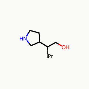 CC(C)C(CO)[C]1CCNC1